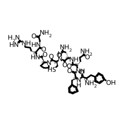 N=C(N)NCCC[C@@H](NC(=O)[C@@H]1CCCN1C(=O)[C@H](CS)NC(=O)[C@H](CC(N)=O)NC(=O)[C@H](CCC(N)=O)NC(=O)[C@H](Cc1ccccc1)NC(=O)[C@@H](N)Cc1ccc(O)cc1)C(=O)NCC(N)=O